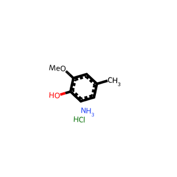 COc1cc(C)ccc1O.Cl.N